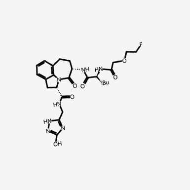 CC[C@H](C)[C@H](NC(=O)COCCF)C(=O)N[C@H]1CCc2cccc3c2N(C1=O)[C@H](C(=O)NCc1nc(O)n[nH]1)C3